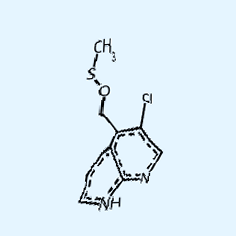 CSOCc1c(Cl)cnc2[nH]ccc12